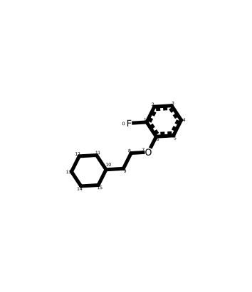 Fc1ccccc1OCCC1CCCCC1